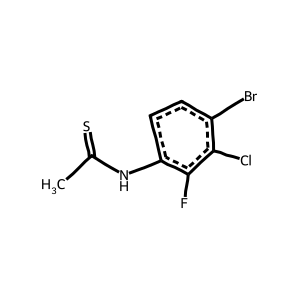 CC(=S)Nc1ccc(Br)c(Cl)c1F